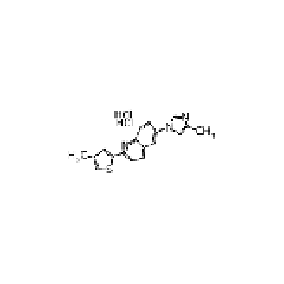 Cc1csc(-c2ccc3cc(-n4cnc(C)c4)ccc3n2)c1.Cl.Cl